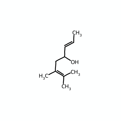 CC=CC(O)CC(C)=C(C)C